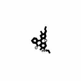 CC/C=c1/cc2c(cc1C)=C(c1ccccc1C=O)c1cc(C)c(NCC)cc1O2